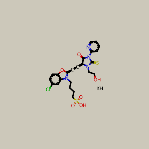 O=C1C(=C=C=C2Oc3ccc(Cl)cc3N2CCCCS(=O)(=O)O)N(CCO)C(=S)N1c1ccccn1.[KH]